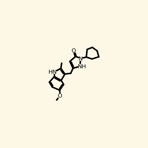 COc1ccc2[nH]c(C)c(Cc3cc(=O)n(C4CCCCC4)[nH]3)c2c1